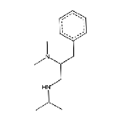 CC(C)NCC(Cc1ccccc1)N(C)C